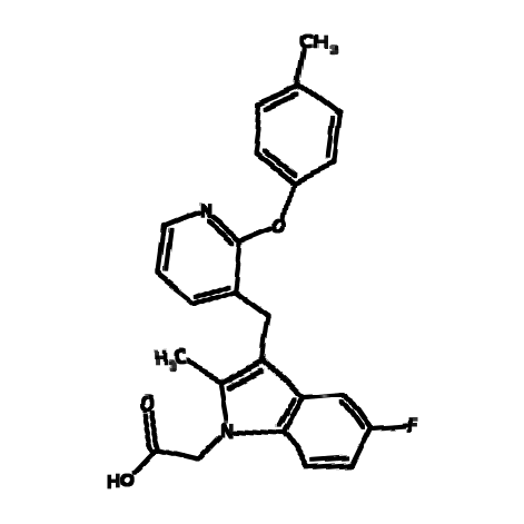 Cc1ccc(Oc2ncccc2Cc2c(C)n(CC(=O)O)c3ccc(F)cc23)cc1